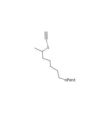 C#CSC(C)CCCCCCCCCC